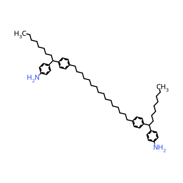 CCCCCCCCC(c1ccc(N)cc1)c1ccc(CCCCCCCCCCCCCCCCc2ccc(C(CCCCCCCC)c3ccc(N)cc3)cc2)cc1